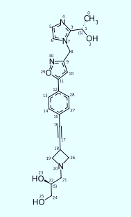 C[C@H](O)c1nccn1Cc1cc(-c2ccc(C#CC3CN(C[C@H](O)CO)C3)cc2)on1